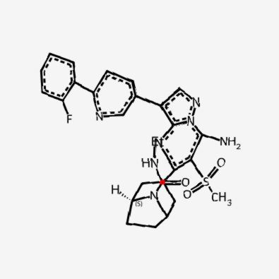 CCNC(=O)N1C2CC[C@H]1CC(c1nc3c(-c4ccc(-c5ccccc5F)nc4)cnn3c(N)c1S(C)(=O)=O)C2